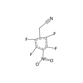 N#CCc1c(F)c(F)c([N+](=O)[O-])c(F)c1F